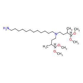 CO[SiH](OC)C(C)CCN(CCCCCCCCCCCCN)CCC(C)[SiH](OC)OC